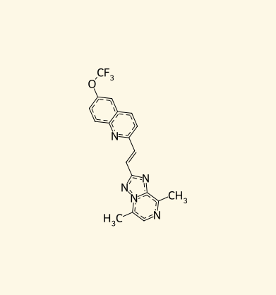 Cc1ncc(C)n2nc(C=Cc3ccc4cc(OC(F)(F)F)ccc4n3)nc12